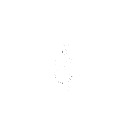 CCC(O)c1ncc(-c2ccc(Oc3cc(Cl)ccc3CN3C(=O)C[C@@H](Cc4ccccc4)C(=O)N(C)[C@@H](C)CNC(=O)C[C@H](Cc4ccc(Cl)cc4)N(C)C(=O)[C@H](COC)NC(=O)[C@@H]3C)cc2)n1C